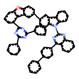 c1ccc(-c2ccc(-c3nc(-n4c5ccccc5c5cc(-c6ccc7oc8cccc(-c9nc(-c%10ccccc%10)nc(-c%10ccccc%10)n9)c8c7c6)ccc54)nc4ccccc34)cc2)cc1